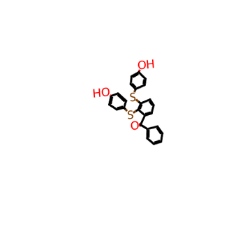 O=C(c1ccccc1)c1cccc(Sc2ccc(O)cc2)c1Sc1ccc(O)cc1